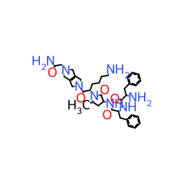 CC1CC(NC(=O)C(Cc2ccccc2)NC(=O)C(N)Cc2ccccc2)C(=O)N1C(CCCCN)C(=O)N1CC2=C(CN(CC(N)=O)C2)C1